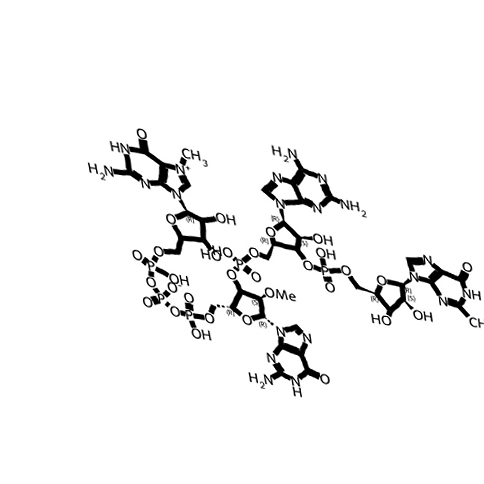 CO[C@H]1C(OP(=O)(O)OC[C@H]2O[C@@H](n3cnc4c(N)nc(N)nc43)[C@@H](O)C2OP(=O)(O)OC[C@H]2O[C@@H](n3cnc4c(=O)[nH]c(C)nc43)[C@@H](O)C2O)[C@@H](COP(=O)(O)OP(=O)([O-])OP(=O)(O)OCC2O[C@@H](n3c[n+](C)c4c(=O)[nH]c(N)nc43)C(O)C2O)O[C@H]1n1cnc2c(=O)[nH]c(N)nc21